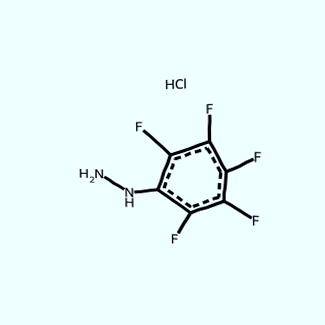 Cl.NNc1c(F)c(F)c(F)c(F)c1F